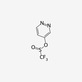 O=S(Oc1ccnnc1)C(F)(F)F